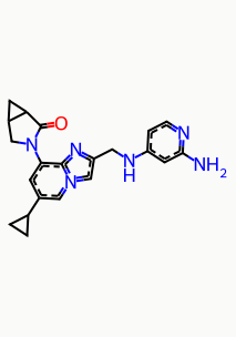 Nc1cc(NCc2cn3cc(C4CC4)cc(N4CC5CC5C4=O)c3n2)ccn1